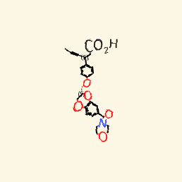 CC#C[C@@H](CC(=O)O)c1ccc(OC[C@H]2COc3ccc(C(=O)N4CCOCC4)cc3O2)cc1